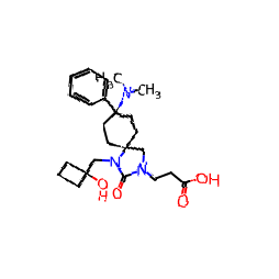 CN(C)[C@]1(c2ccccc2)CC[C@@]2(CC1)CN(CCC(=O)O)C(=O)N2CC1(O)CCC1